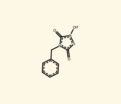 O=c1sn(O)c(=O)n1Cc1ccccc1